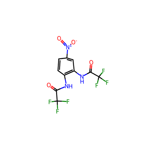 O=C(Nc1ccc([N+](=O)[O-])cc1NC(=O)C(F)(F)F)C(F)(F)F